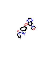 O=C(N[C@H]1CC[C@@H](Oc2cc(N3CCOCC3)cc3nccnc23)CC1)N1CCCCC1